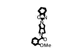 COc1ccccc1C(=O)N1CC2=CN(c3nc4ccccc4o3)CC2C1